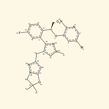 C[C@@H](Oc1cc(Br)cnc1[N+](=O)[O-])c1ccc(F)cc1-c1nn(C)cc1Cc1cc2n(n1)CC(C)(C)O2